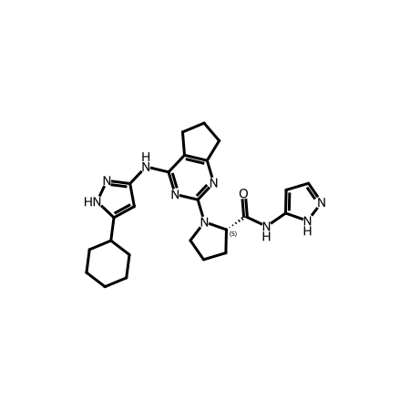 O=C(Nc1ccn[nH]1)[C@@H]1CCCN1c1nc2c(c(Nc3cc(C4CCCCC4)[nH]n3)n1)CCC2